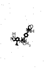 Cn1nc(-c2ccc(-c3nc4c([nH]3)COCC4)cc2)nc1Nc1ccc2[nH]ncc2c1C1CC1